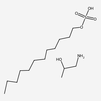 CC(O)CN.CCCCCCCCCCCCOS(=O)(=O)O